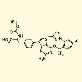 Cc1ccn(-c2cc(Cl)ccc2[C@@H](Oc2nc(N)nc3c(-c4ccc(CC(NC(=O)OC(C)(C)C)C(=O)O)cc4)csc23)C(F)(F)F)n1